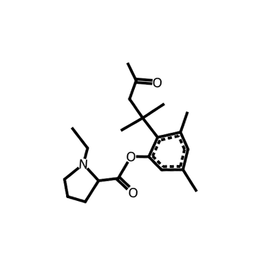 CCN1CCCC1C(=O)Oc1cc(C)cc(C)c1C(C)(C)CC(C)=O